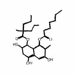 CCCCCCC(=O)OC1C(C)C(O)=CC2=C(O)CC(O)C(OC(=O)C(C)(CCC)CCC)C21